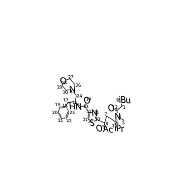 CC[C@H](C)CC(=O)N(C)[C@H](C[C@@H](OC(C)=O)c1nc(C(=O)N[C@@H](Cc2ccccc2)CN2CCOCC2)cs1)C(C)C